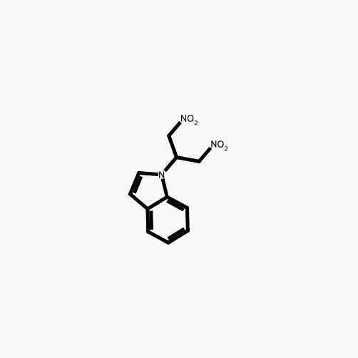 O=[N+]([O-])CC(C[N+](=O)[O-])n1ccc2ccccc21